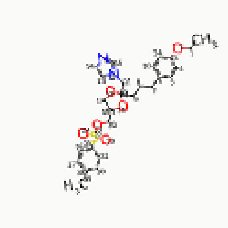 CCOc1ccc(CCC[C@]2(Cn3ccnc3)OC[C@H](COS(=O)(=O)c3ccc(C)cc3)O2)cc1